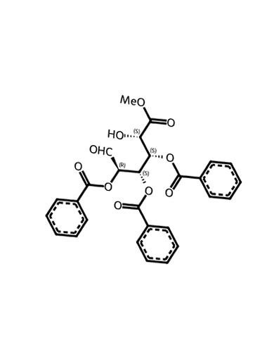 COC(=O)[C@@H](O)[C@H](OC(=O)c1ccccc1)[C@H](OC(=O)c1ccccc1)[C@H](C=O)OC(=O)c1ccccc1